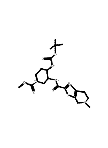 COC(=O)[C@H]1CCC(NC(=O)OC(C)(C)C)C(NC(=O)c2nc3c(s2)CN(C)CC3)C1